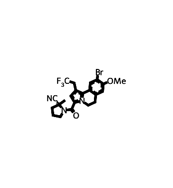 COc1cc2c(cc1Br)-c1c(CC(F)(F)F)cc(C(=O)N3CCC[C@]3(C)C#N)n1CC2